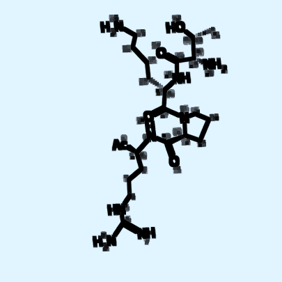 CC(=O)[C@H](CCCNC(=N)N)NC(=O)[C@@H]1CCCN1C(=O)[C@H](CCCCN)NC(=O)[C@@H](N)[C@@H](C)O